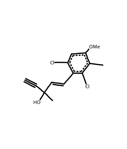 C#CC(C)(O)/C=C/c1c(Cl)cc(OC)c(C)c1Cl